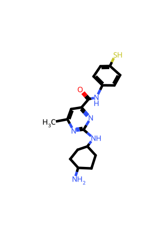 Cc1cc(C(=O)Nc2ccc(S)cc2)nc(NC2CCC(N)CC2)n1